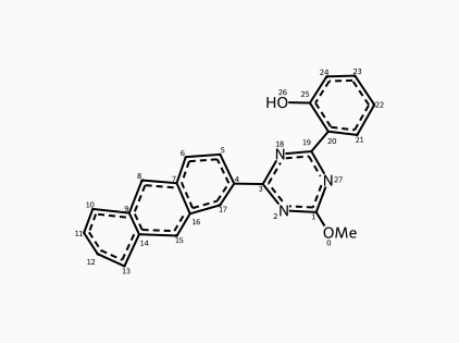 COc1nc(-c2ccc3cc4ccccc4cc3c2)nc(-c2ccccc2O)n1